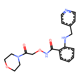 O=C(NOCC(=O)N1CCOCC1)c1ccccc1NCc1ccncc1